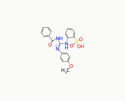 COc1ccc(/N=C(/NC(=O)c2ccccc2)Nc2ccccc2S(=O)(=O)O)cc1